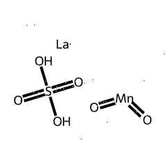 O=S(=O)(O)O.[La].[O]=[Mn]=[O]